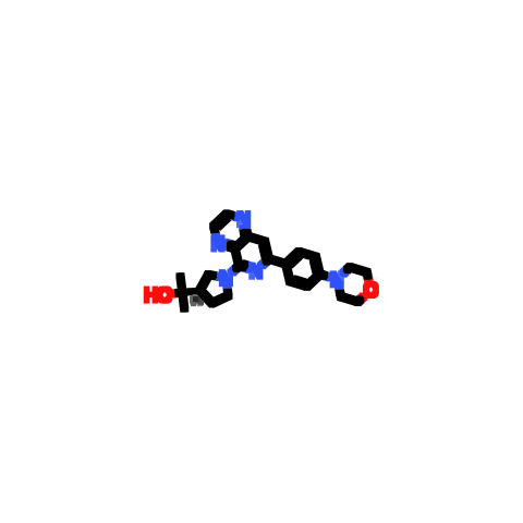 CC(C)(O)[C@@H]1CCN(c2nc(-c3ccc(N4CCOCC4)cc3)cc3nccnc23)C1